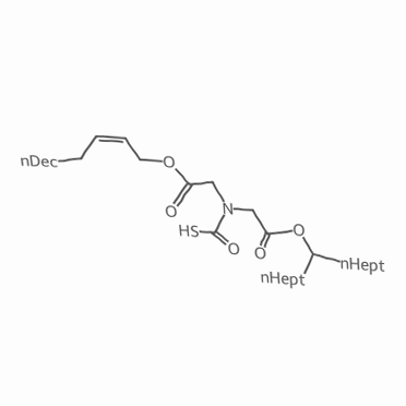 CCCCCCCCCCC/C=C\COC(=O)CN(CC(=O)OC(CCCCCCC)CCCCCCC)C(=O)S